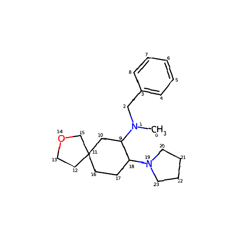 CN(Cc1ccccc1)C1CC2(CCOC2)CCC1N1CCCC1